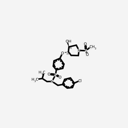 CC(C)CN(Cc1ccc(Cl)cc1)S(=O)(=O)c1ccc(O[C@H]2CCN(S(C)(=O)=O)C[C@@H]2O)cc1